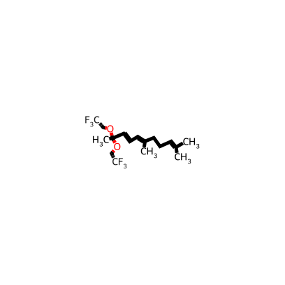 CC(C)=CCC/C(C)=C/C=C/C(C)(OCC(F)(F)F)OCC(F)(F)F